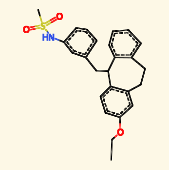 CCOc1ccc2c(c1)CCc1ccccc1C2Cc1cccc(NS(C)(=O)=O)c1